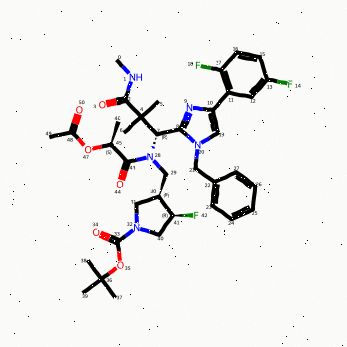 CNC(=O)C(C)(C)[C@H](c1nc(-c2cc(F)ccc2F)cn1Cc1ccccc1)N(C[C@@H]1CN(C(=O)OC(C)(C)C)C[C@@H]1F)C(=O)[C@H](C)OC(C)=O